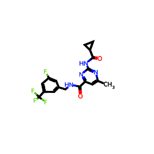 Cc1cc(C(=O)NCc2cc(F)cc(C(F)(F)F)c2)nc(NC(=O)C2CC2)n1